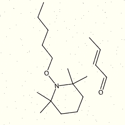 CC=CC=O.CCCCCON1C(C)(C)CCCC1(C)C